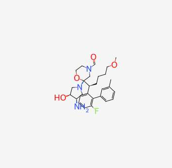 COCCCC[C@@H](c1cccc(F)c1-c1cccc(C)c1)[C@@]1(N2C[C@@H](N)[C@@H](O)C2)CN(C=O)CCO1